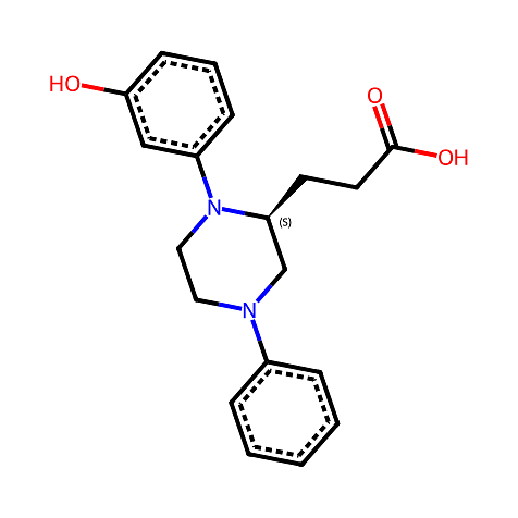 O=C(O)CC[C@H]1CN(c2ccccc2)CCN1c1cccc(O)c1